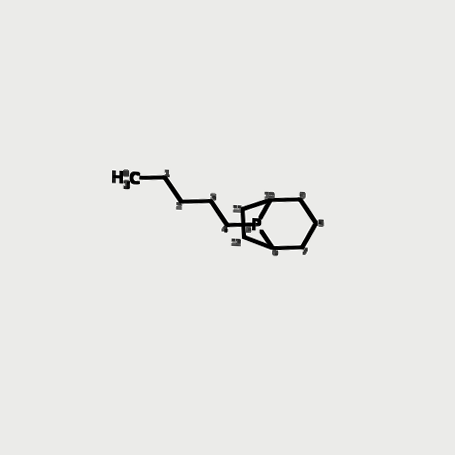 CCCCCP1C2CCCC1CC2